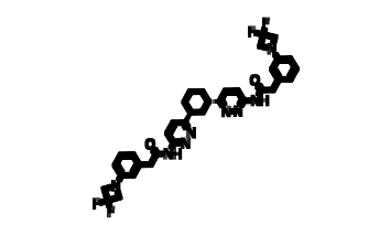 O=C(Cc1cccc(N2CC(F)(F)C2)c1)Nc1ccc([C@H]2CCC[C@H](c3ccc(NC(=O)Cc4cccc(N5CC(F)(F)C5)c4)nn3)C2)nn1